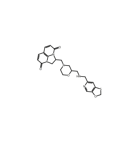 O=c1ccc2ccc(=O)n3c2n1CC3CN1CCOC(CNCc2cc3c(cn2)OCS3)C1